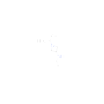 CCNC1CN(C(C)C)C1